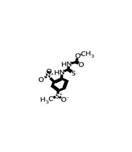 COC(=O)NC(=S)Nc1ccc([S+](C)[O-])cc1[N+](=O)[O-]